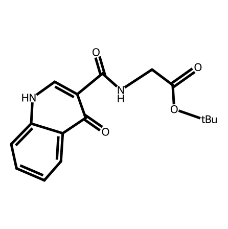 CC(C)(C)OC(=O)CNC(=O)c1c[nH]c2ccccc2c1=O